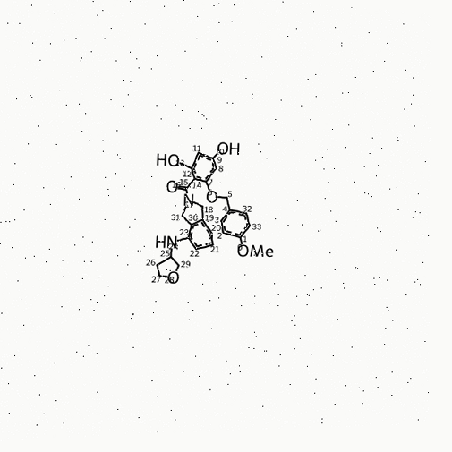 COc1ccc(COc2cc(O)cc(O)c2C(=O)N2Cc3cccc(NC4CCOC4)c3C2)cc1